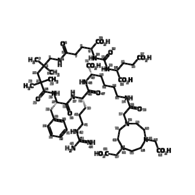 CC(C)(CNC(=O)CCC(NC(=O)NC(CCC(=O)O)C(=O)O)C(=O)O)CC(C)(C)C(=O)N[C@@H](Cc1ccccc1)C(=O)N[C@@H](CCCNC(=N)N)C(=O)N[C@@H](CCCCNC(=O)CN1CCN(CC(=O)O)CCN(CC(=O)O)CC1)C(=O)O